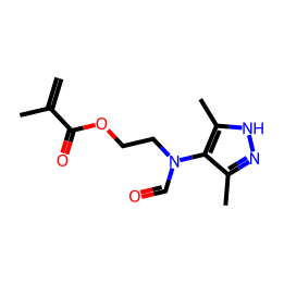 C=C(C)C(=O)OCCN(C=O)c1c(C)n[nH]c1C